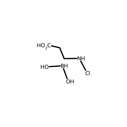 O=C(O)CCNCl.OBO